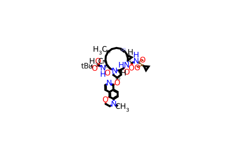 C[C@@H]1CC/C=C\[C@@H]2C[C@@]2(C(=O)NS(=O)(=O)C2CC2)NC(=O)[C@@H]2C[C@@H](Oc3nccc4c5c(ccc34)N(C)CCO5)CN2C(=O)[C@@H](NC(=O)OC(C)(C)C)[C@H](C)C1